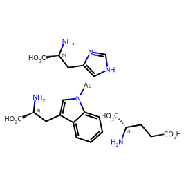 CC(=O)n1cc(C[C@H](N)C(=O)O)c2ccccc21.N[C@@H](CCC(=O)O)C(=O)O.N[C@@H](Cc1c[nH]cn1)C(=O)O